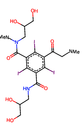 CNCC(=O)c1c(I)c(C(=O)NCC(O)CO)c(I)c(C(=O)N(CC(O)CO)NC)c1I